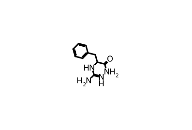 N=C(N)NC(Cc1ccccc1)C(N)=O